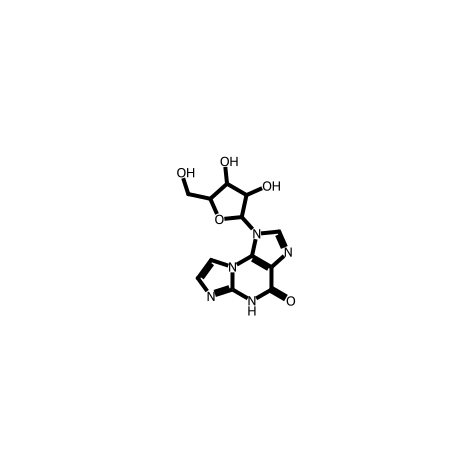 O=c1[nH]c2nccn2c2c1ncn2C1OC(CO)C(O)C1O